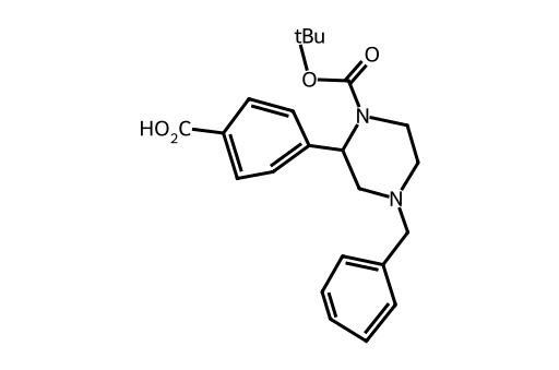 CC(C)(C)OC(=O)N1CCN(Cc2ccccc2)CC1c1ccc(C(=O)O)cc1